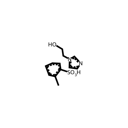 Cc1ccccc1S(=O)(=O)O.OCCn1ccnc1